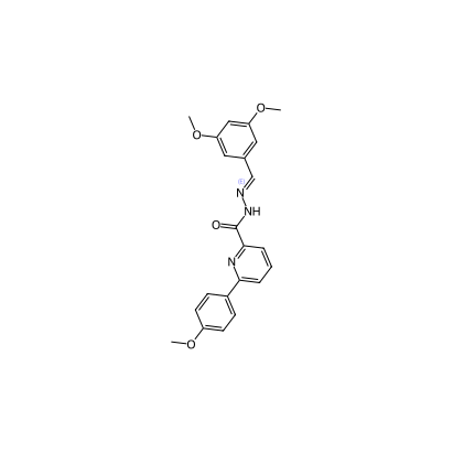 COc1ccc(-c2cccc(C(=O)N/N=C/c3cc(OC)cc(OC)c3)n2)cc1